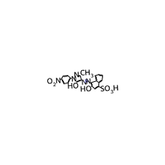 Cc1nn(-c2ccc([N+](=O)[O-])cc2)c(O)c1/N=N/c1c(O)cc(S(=O)(=O)O)c2ccccc12